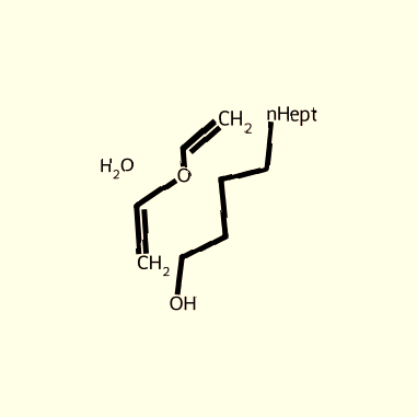 C=COC=C.CCCCCCCCCCCO.O